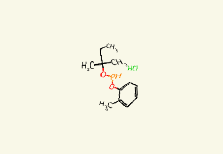 CCC(C)(C)OPOc1ccccc1C.Cl